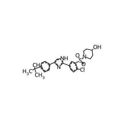 CC(C)(C)c1ccc(-c2c[nH]c(-c3ccc(Cl)c(S(=O)(=O)N4CCC(O)CC4)c3)n2)cc1